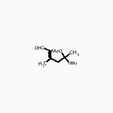 CCCCC(C)(CC(C)=CC=O)OC